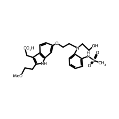 COCCc1[nH]c2cc(OCCN(CCO)c3ccccc3NS(C)(=O)=O)ccc2c1CC(=O)O